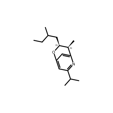 CCC(C)C[C@@H]1Oc2cc(C(C)C)nc(c2)[C@@H]1C